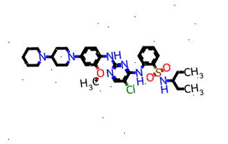 CCC(CC)NS(=O)(=O)c1ccccc1Nc1nc(Nc2ccc(N3CCC(N4CCCCC4)CC3)cc2OC)ncc1Cl